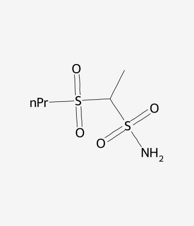 CCCS(=O)(=O)C(C)S(N)(=O)=O